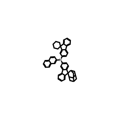 c1ccc2c(c1)-c1ccc(N(c3ccc4c(c3)-c3ccccc3C43C4CC5CC(C4)CC3C5)c3ccc4ccccc4c3)cc1C21CCCCC1